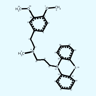 COc1ccc(CCN(C)CCCN2c3ccccc3Sc3ccccc32)cc1OC